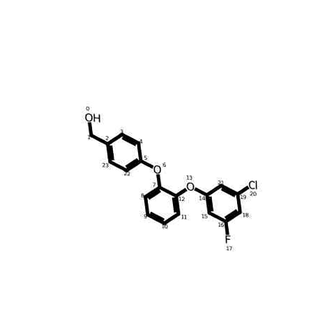 OCc1ccc(Oc2ccccc2Oc2cc(F)cc(Cl)c2)cc1